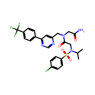 CC(C)N(CC(=O)N(CC(N)=O)Cc1cc(-c2ccc(C(F)(F)F)cc2)ncn1)S(=O)(=O)c1ccc(F)cc1